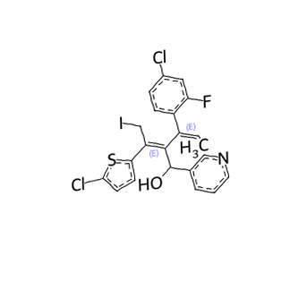 C/C=C(\C(=C(/CI)c1ccc(Cl)s1)C(O)c1cccnc1)c1ccc(Cl)cc1F